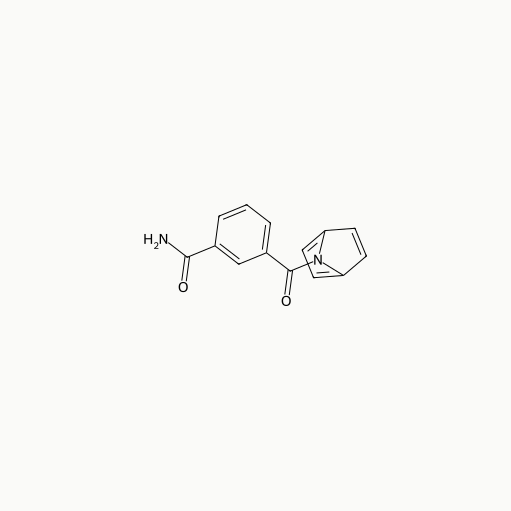 NC(=O)c1cccc(C(=O)n2c3ccc2cc3)c1